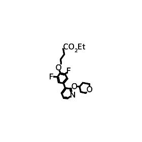 CCOC(=O)CCCCOc1c(F)cc(-c2cccnc2OC2CCOCC2)cc1F